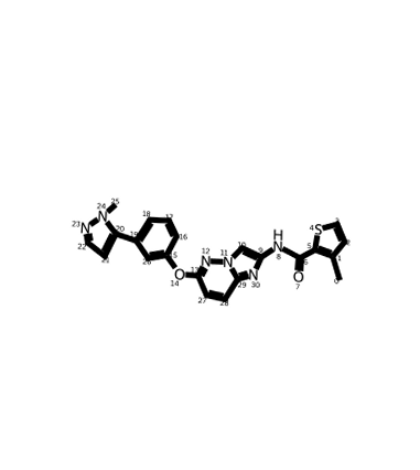 Cc1ccsc1C(=O)Nc1cn2nc(Oc3cccc(-c4ccnn4C)c3)ccc2n1